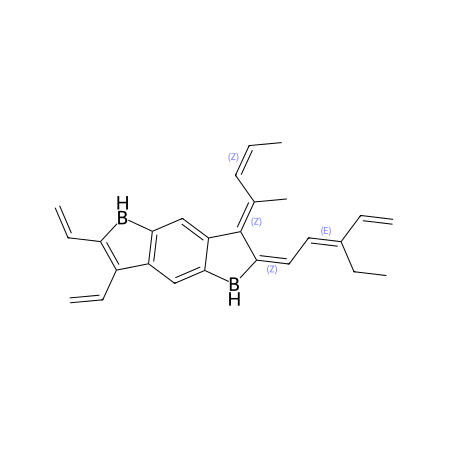 C=CC1=C(C=C)c2cc3c(cc2B1)C(=C(C)\C=C/C)/C(=C\C=C(\C=C)CC)B3